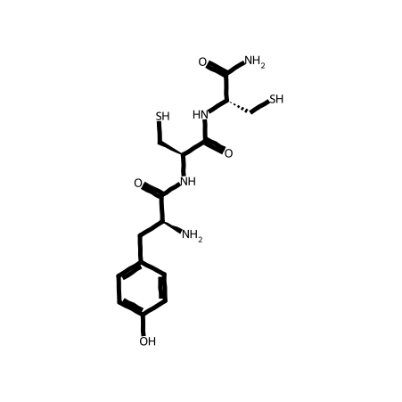 NC(=O)[C@H](CS)NC(=O)[C@H](CS)NC(=O)[C@@H](N)Cc1ccc(O)cc1